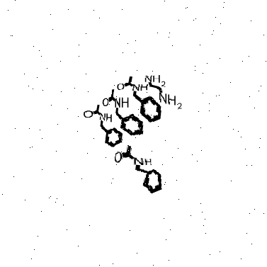 CC(=O)NCc1ccccc1.CC(=O)NCc1ccccc1.CC(=O)NCc1ccccc1.CC(=O)NCc1ccccc1.NCCN